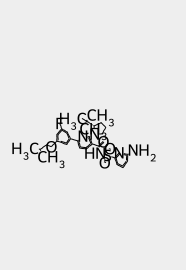 CC(C)COc1cc(F)cc(-c2ccc(C(=O)NS(=O)(=O)c3cccc(N)n3)c(N3CCC[C@@H]3C(C)(C)C)n2)c1